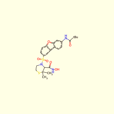 CC(C)(C)C(=O)Nc1ccc2c(c1)oc1ccc(S(=O)(=O)N3CCSC(C)(C)C3C(=O)NO)cc12